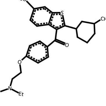 CCN(CC)CCOc1ccc(C(=O)c2c(C3CCCC(C)C3)sc3cc(OC)ccc23)cc1